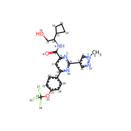 Cn1cc(-c2nc(C(=O)NC(CO)C3CCC3)cc(-c3ccc(OC(F)(F)F)cc3)n2)cn1